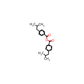 CC(C)Cc1ccc(C(=O)OC(=O)c2ccc(CC(C)C)cc2)cc1